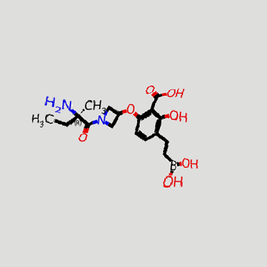 CC[C@@](C)(N)C(=O)N1CC(Oc2ccc(CCB(O)O)c(O)c2C(=O)O)C1